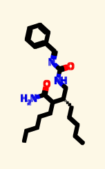 CCCCCC(C(N)=O)[C@@H](CCCCC)CNC(=O)/N=C/c1ccccc1